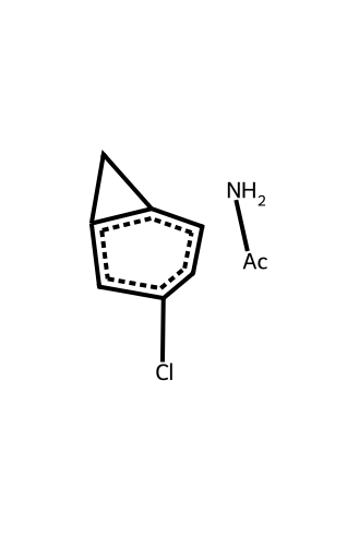 CC(N)=O.Clc1ccc2c(c1)C2